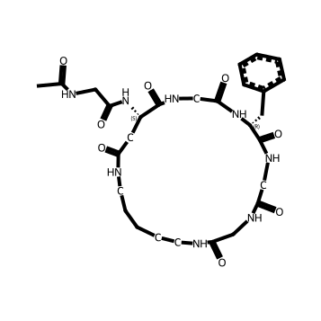 CC(=O)NCC(=O)N[C@H]1CC(=O)NCCCCCNC(=O)CNC(=O)CNC(=O)[C@@H](Cc2ccccc2)NC(=O)CNC1=O